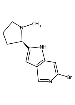 CN1CCC[C@@H]1c1cc2cnc(Br)cc2[nH]1